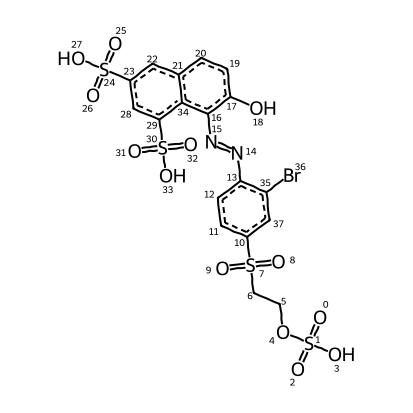 O=S(=O)(O)OCCS(=O)(=O)c1ccc(N=Nc2c(O)ccc3cc(S(=O)(=O)O)cc(S(=O)(=O)O)c23)c(Br)c1